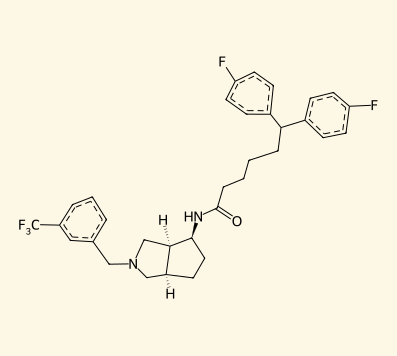 O=C(CCCCC(c1ccc(F)cc1)c1ccc(F)cc1)N[C@H]1CC[C@H]2CN(Cc3cccc(C(F)(F)F)c3)C[C@H]21